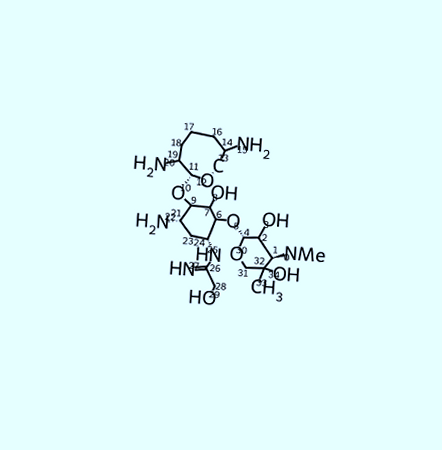 CN[C@@H]1C(O)[C@@H](OC2C(O)C(O[C@H]3OCC(N)CCCC3N)[C@@H](N)C[C@H]2NC(=N)CO)OCC1(C)O